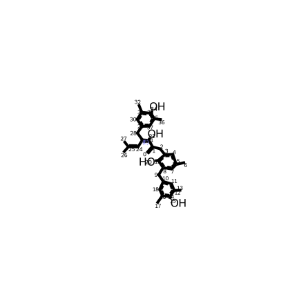 C=C(Cc1cc(C)cc(Cc2cc(C)c(O)c(C)c2)c1O)/C(O)=C(\C=C(C)C)Cc1cc(C)c(O)c(C)c1